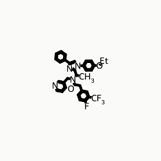 CCOc1ccc(-n2cc(-c3ccccc3)nc2C(C)N(Cc2cccnc2)C(=O)Cc2ccc(F)c(C(F)(F)F)c2)cc1